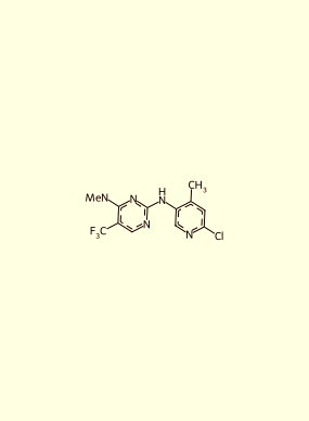 CNc1nc(Nc2cnc(Cl)cc2C)ncc1C(F)(F)F